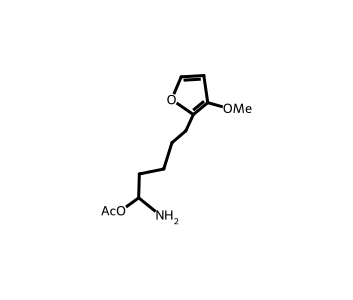 COc1ccoc1CCCCC(N)OC(C)=O